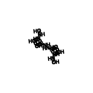 O=C1c2c(O)ccc(O)c2C(=O)c2c(NCCNCCNCCNc3ccc(NCCNCCO)c4c3C(=O)c3c(O)ccc(O)c3C4=O)ccc(NCCNCCO)c21